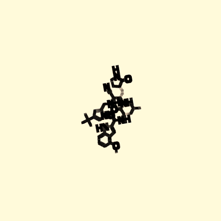 COc1cccc2[nH]c(C(=O)N[C@@H](CC(C)C)C(=O)N[C@@H](C[C@@H]3CCNC3=O)C(C#N)NCc3cc(C(C)(C)C)c[nH]3)cc12